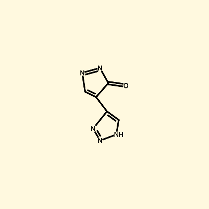 O=C1N=NC=C1c1c[nH]nn1